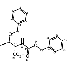 C[C@@H](OCc1ccccc1)[C@H](NC(=O)OCc1ccccc1)C(=O)O